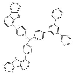 c1ccc(-c2cc(-c3ccccc3)cc(-c3ccc(C(c4ccc(-c5cccc6c5sc5ccccc56)cc4)c4ccc(-c5cccc6c5sc5ccccc56)cc4)cc3)c2)cc1